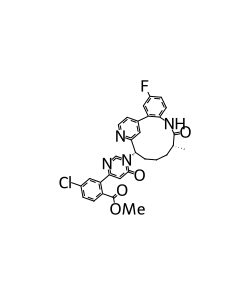 COC(=O)c1ccc(Cl)cc1-c1cc(=O)n([C@H]2CCC[C@@H](C)C(=O)Nc3ccc(F)cc3-c3ccnc2c3)cn1